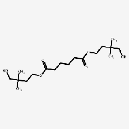 CC(C)(CO)CCOC(=O)CCCCC(=O)OCCC(C)(C)CO